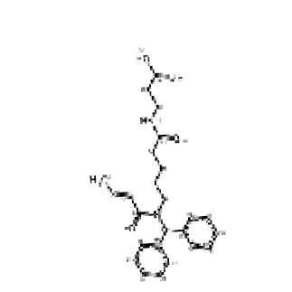 C/C=C/C(=O)N(CCCCC(=O)NCCC(=O)O)C(c1ccccc1)c1ccccc1